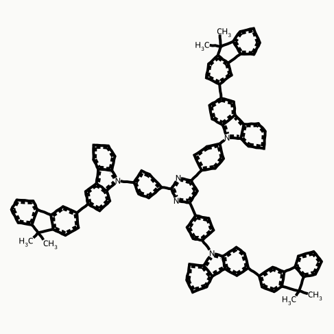 CC1(C)c2ccccc2-c2cc(-c3ccc4c(c3)c3ccccc3n4-c3ccc(-c4cc(-c5ccc(-n6c7ccccc7c7cc(-c8ccc9c(c8)-c8ccccc8C9(C)C)ccc76)cc5)nc(-c5ccc(-n6c7ccccc7c7cc(-c8ccc9c(c8)-c8ccccc8C9(C)C)ccc76)cc5)n4)cc3)ccc21